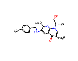 COc1nc2c(cc1NCc1ccc(C)cc1)c(=O)c(C(=O)O)cn2[C@H](CO)C(C)C